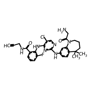 C#CCNC(=O)c1cccc(F)c1Nc1nc(Nc2ccc3c(c2)N(C(=O)CN)CCCC3(C)C)ncc1Cl